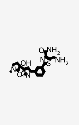 CN1CC[C@@](O)(c2cc(-c3cccc(-c4nc(C(N)=O)c(CN)s4)c3)no2)C1=O